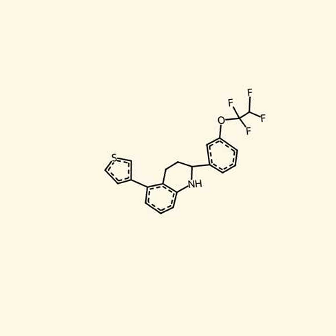 FC(F)C(F)(F)Oc1cccc(C2CCc3c(cccc3-c3ccsc3)N2)c1